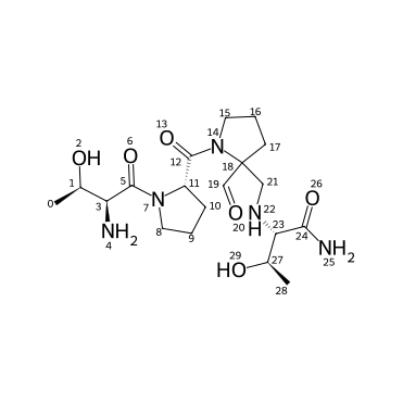 C[C@@H](O)[C@H](N)C(=O)N1CCC[C@H]1C(=O)N1CCCC1(C=O)CN[C@H](C(N)=O)[C@@H](C)O